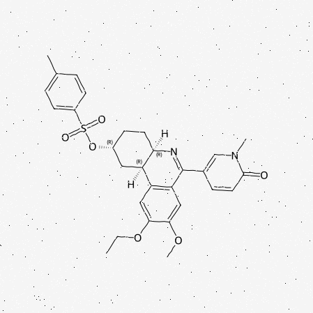 CCOc1cc2c(cc1OC)C(c1ccc(=O)n(C)c1)=N[C@@H]1CC[C@@H](OS(=O)(=O)c3ccc(C)cc3)C[C@H]21